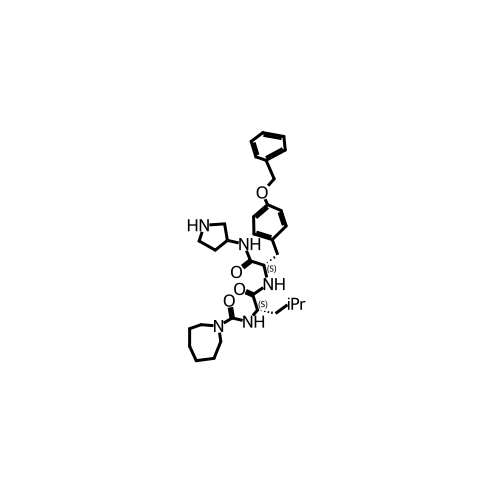 CC(C)C[C@H](NC(=O)N1CCCCCC1)C(=O)N[C@@H](Cc1ccc(OCc2ccccc2)cc1)C(=O)NC1CCNC1